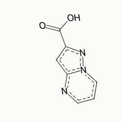 O=C(O)c1cc2ncccn2n1